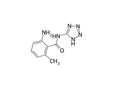 Cc1cccc(N)c1C(=O)Nc1nnn[nH]1